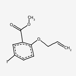 C=CCOc1ccc(I)cc1C(=O)OC